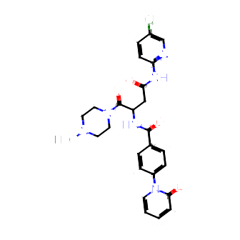 CN1CCN(C(=O)C(CC(=O)Nc2ccc(Cl)cn2)NC(=O)c2ccc(-n3ccccc3=O)cc2)CC1